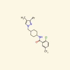 Cc1cn(CC2CCC(NC(=O)c3cc(C(F)(F)F)ccc3Cl)CC2)nc1C(C)C